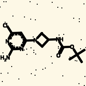 CC(C)(C)OC(=O)NC1CN(c2cc(Cl)nc(N)n2)C1